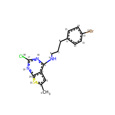 Cc1cc2c(NCCCc3ccc(Br)cc3)nc(Cl)nc2s1